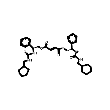 O=C(NCC1CCCCC1)N[C@H](COC(=O)/C=C/C(=O)OC[C@@H](NC(=O)NCC1CCCCC1)c1ccccc1)c1ccccc1